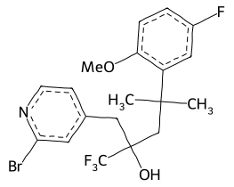 COc1ccc(F)cc1C(C)(C)CC(O)(Cc1ccnc(Br)c1)C(F)(F)F